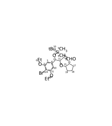 CCOc1cc(C(O[Si](C)(C)C(C)(C)C)C(CC=O)OC2CCCC2)cc(OCC)c1Br